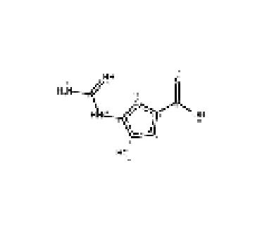 Cl.N=C(N)Nc1ccc(C(=O)O)s1